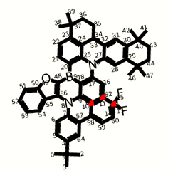 CC(C)(C)c1ccc(N2c3cc(C(F)(F)F)cc4c3B(c3ccc5c6c3N4c3cc4c(cc3C6(C)CCC5(C)C)C(C)(C)CCC4(C)C)c3oc4ccccc4c32)c(-c2ccccc2)c1